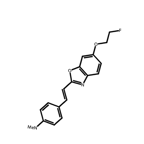 CNc1ccc(/C=C/c2nc3ccc(OCCF)cc3o2)cc1